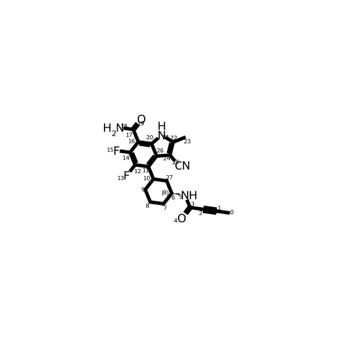 CC#CC(=O)N[C@@H]1CCCC(c2c(F)c(F)c(C(N)=O)c3[nH]c(C)c(C#N)c23)C1